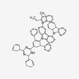 C=Cc1c(C)c2ccccc2n1-c1ccc2c(c1)c1c(N3c4ccccc4C4C=CC=CC43)cccc1n2C1=C(c2ccccc2)C=C(C2=NC(C3C=CC=CC3)=NC(C3=CCCC=C3)N2)CC1c1ccccc1